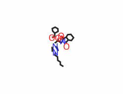 CCCCCCN1CCN(CC(CN2C(=O)C3CCCCC3C2=O)OC(=O)C2CCCCC2)CC1